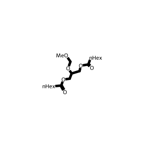 CCCCCCC(=O)OCC(COC(=O)CCCCCC)OCOC